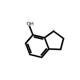 Oc1cccc2c1[C]CC2